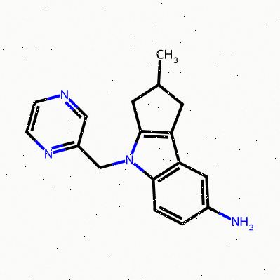 CC1Cc2c(n(Cc3cnccn3)c3ccc(N)cc23)C1